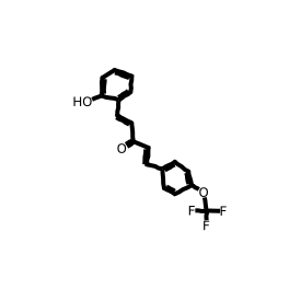 O=C(C=Cc1ccc(OC(F)(F)F)cc1)C=Cc1ccccc1O